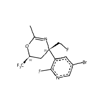 CC1=N[C@](CF)(c2cc(Br)cnc2F)C[C@@H](C(F)(F)F)O1